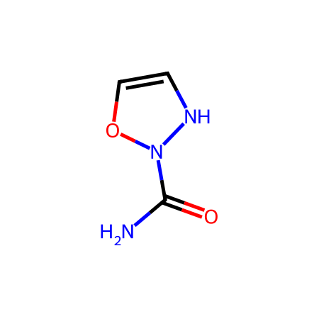 NC(=O)N1NC=CO1